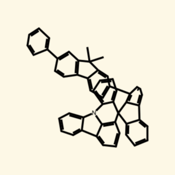 CC1(C)c2cc(-c3ccccc3)ccc2-c2ccc(-c3cccc4c3C3(c5ccccc5-4)c4ccccc4-n4c5ccccc5c5cccc3c54)cc21